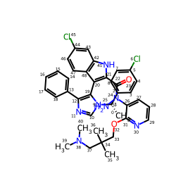 C[C@@H](c1ccc(Cl)cc1)n1cnc(-c2ccccc2)c1-c1c(C(=O)N(N)c2cccnc2OCC(C)(C)CN(C)C)[nH]c2cc(Cl)ccc12